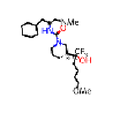 CNC[C@H](CC1CCCCC1)NC(=O)N1CCC[C@@H]([C@@](O)(CCCCOC)C(F)(F)F)C1